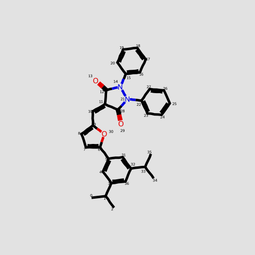 CC(C)c1cc(-c2ccc(C=C3C(=O)N(c4ccccc4)N(c4ccccc4)C3=O)o2)cc(C(C)C)c1